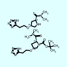 CN(C)C(=S)[C@@H]1C[C@@H](OCCc2nnn[nH]2)CN1.CN(C)C(=S)[C@@H]1C[C@@H](OCCc2nnn[nH]2)CN1C(=O)OC(C)(C)C